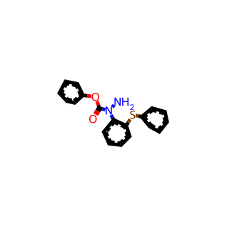 NN(C(=O)Oc1ccccc1)c1ccccc1Sc1ccccc1